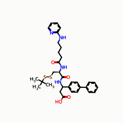 CC(C)(C)SSC[C@@H](NC(=O)CCCCNc1ccccn1)C(=O)NC(CC(=O)O)c1ccc(-c2ccccc2)cc1